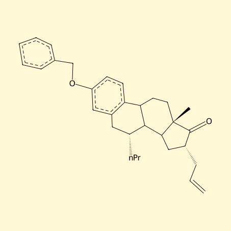 C=CC[C@@H]1CC2C3C(CC[C@]2(C)C1=O)c1ccc(OCc2ccccc2)cc1C[C@H]3CCC